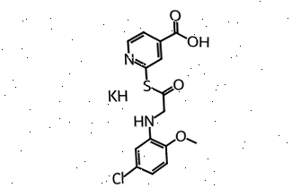 COc1ccc(Cl)cc1NCC(=O)Sc1cc(C(=O)O)ccn1.[KH]